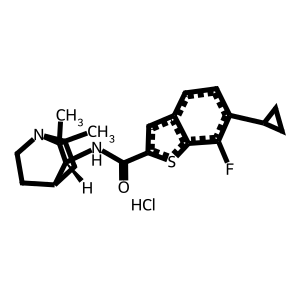 CC1(C)[C@H](NC(=O)c2cc3ccc(C4CC4)c(F)c3s2)C2CCN1CC2.Cl